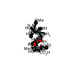 COCC[C@@H](C(=O)N1C[C@@H](O)C[C@@H]1C(=O)N[C@@H](CC(=O)O)C(=O)N[C@H](C(=O)N(C)[C@H](C=O)Cc1ccccc1)C(C)C)N(C)C(=O)[C@H](Cc1ccccc1)N(C)C(=O)[C@H](Cc1ccc(F)c(F)c1)NC(=O)CSC[C@H](NC(=O)[C@H](CCCN)NC(=O)[C@H](Cc1ccc(O)cc1)NC(=O)[C@H](Cc1c[nH]c2ccccc12)NC(=O)[C@H]1C[C@H](O)CN1C(=O)[C@@H](N)Cc1ccc(OC)cc1)C(=O)NCC(N)=O